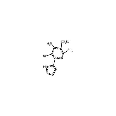 CCOC(=O)c1c(C)nc(-c2ncc[nH]2)c(C#N)c1N